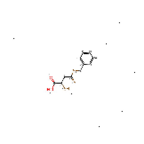 O=C(O)C(S)CC(=S)SCc1ccccc1